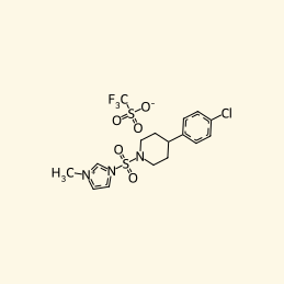 C[n+]1ccn(S(=O)(=O)N2CCC(c3ccc(Cl)cc3)CC2)c1.O=S(=O)([O-])C(F)(F)F